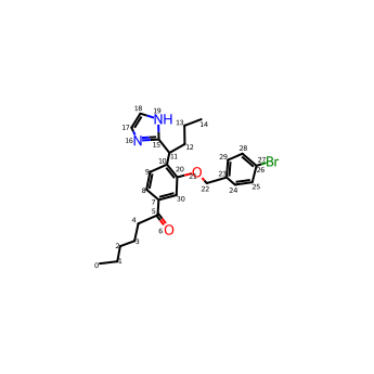 CCCCCC(=O)c1ccc(C(CCC)c2ncc[nH]2)c(OCc2ccc(Br)cc2)c1